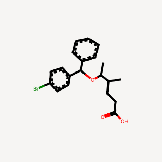 CC(CCC(=O)O)C(C)OC(c1ccccc1)c1ccc(Br)cc1